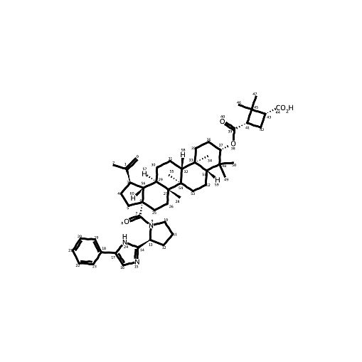 C=C(C)[C@@H]1CC[C@]2(C(=O)N3CCC[C@H]3c3ncc(-c4ccccc4)[nH]3)CC[C@]3(C)[C@H](CC[C@@H]4[C@@]5(C)CC[C@H](OC(=O)[C@H]6C[C@@H](C(=O)O)C6(C)C)C(C)(C)[C@@H]5CC[C@]43C)[C@@H]12